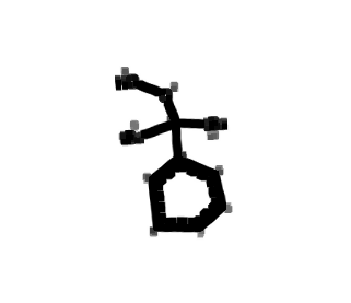 CC(C)(C)C(OO)(c1ccccc1)C(C)(C)C